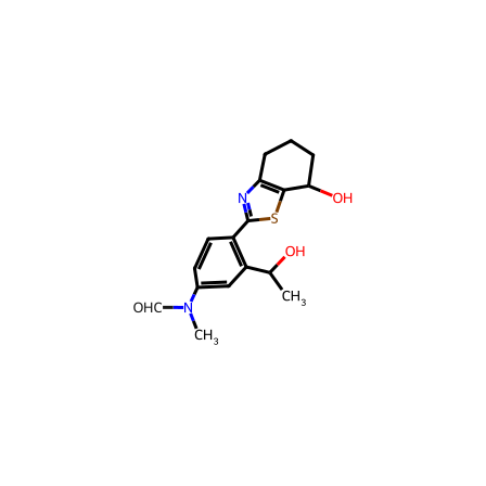 CC(O)c1cc(N(C)C=O)ccc1-c1nc2c(s1)C(O)CCC2